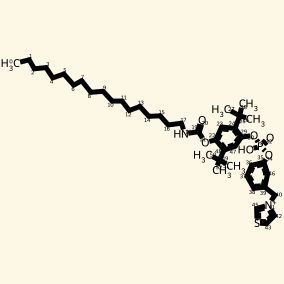 CCCCCCCCCCCCCCCCCCNC(=O)Oc1cc(C(C)(C)C)c(OP(=O)(O)Oc2cccc(C[n+]3ccsc3)c2)cc1C(C)(C)C